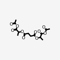 CC(=O)OC(=O)C(C)OC(=O)CCC(=O)OC(C)C(=O)OC(C)=O